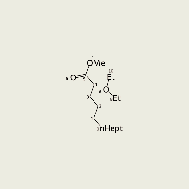 CCCCCCCCCCCC(=O)OC.CCOCC